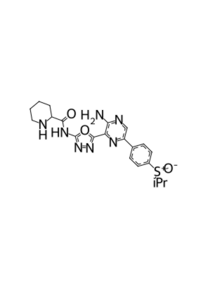 CC(C)[S+]([O-])c1ccc(-c2cnc(N)c(-c3nnc(NC(=O)C4CCCCN4)o3)n2)cc1